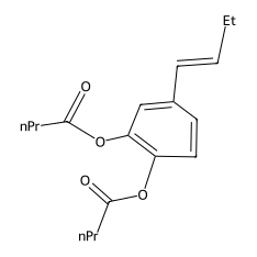 CC/C=C/c1ccc(OC(=O)CCC)c(OC(=O)CCC)c1